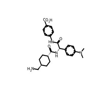 CN(C)c1ccc([C@H](NC(=O)[C@H]2CC[C@H](CN)CC2)C(=O)Nc2ccc(C(=O)O)cc2)cc1